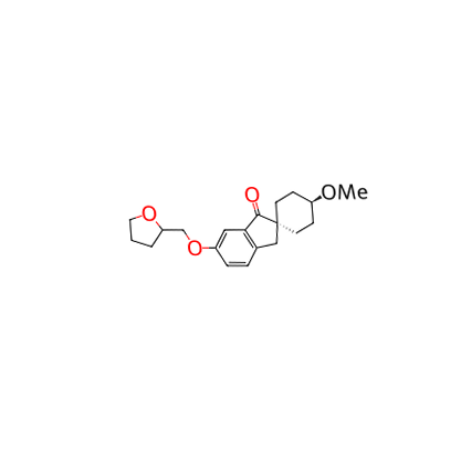 CO[C@H]1CC[C@]2(CC1)Cc1ccc(OCC3CCCO3)cc1C2=O